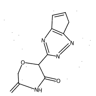 C=C1COC(c2nnc3c(n2)C=CC3)C(=O)N1